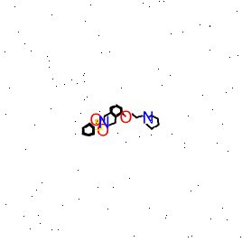 O=S(=O)(c1ccccc1)N1CCc2c(cccc2OCCCN2CCCCC2)C1